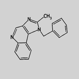 Cc1nc2cnc3ccccc3c2n1Cc1ccccc1